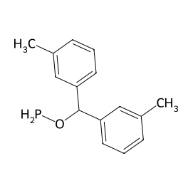 Cc1cccc(C(OP)c2cccc(C)c2)c1